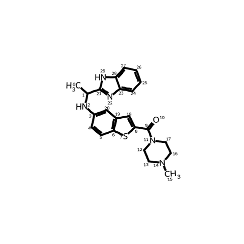 CC(Nc1ccc2sc(C(=O)N3CCN(C)CC3)cc2c1)c1nc2ccccc2[nH]1